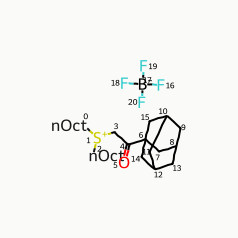 CCCCCCCC[S+](CCCCCCCC)CC(=O)C12CC3CC(CC(C3)C1)C2.F[B-](F)(F)F